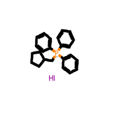 I.c1ccc([P](CC2CCCC2)(c2ccccc2)c2ccccc2)cc1